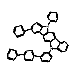 c1ccc(-c2ccc(-c3cccc(-n4c5ccccc5c5cc6c(cc54)c4cc(-c5ccccc5)ccc4n6-c4ccccc4)c3)cc2)cc1